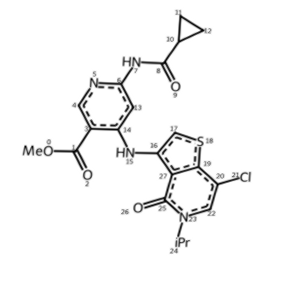 COC(=O)c1cnc(NC(=O)C2CC2)cc1Nc1csc2c(Cl)cn(C(C)C)c(=O)c12